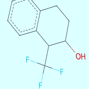 OC1CCc2ccccc2C1C(F)(F)F